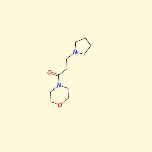 O=C(CCN1CCCC1)N1CCOCC1